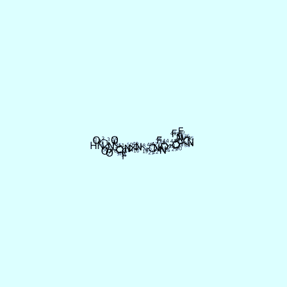 O=C1CCC(N2C(=O)c3cc(F)c(N4CC5(CN(CCC6CCN(c7ncc(-c8ccc9c%10cnccc%10n(C(F)F)c9c8)cc7F)CC6)C5)C4)cc3C2=O)C(=O)N1